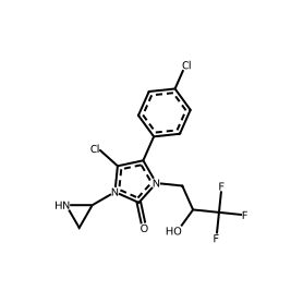 O=c1n(CC(O)C(F)(F)F)c(-c2ccc(Cl)cc2)c(Cl)n1C1CN1